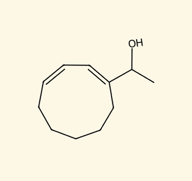 CC(O)C1=CC=CCCCCC1